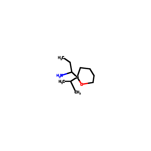 CCC(N)[Si]1(C(C)C)CCCCO1